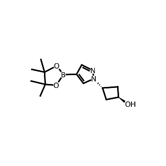 CC1(C)OB(c2cnn([C@H]3C[C@H](O)C3)c2)OC1(C)C